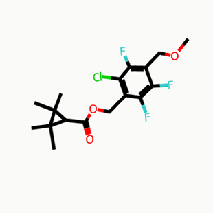 COCc1c(F)c(F)c(COC(=O)C2C(C)(C)C2(C)C)c(Cl)c1F